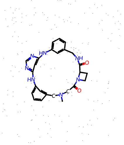 CN1CC(=O)N2CCC2C(=O)NCc2cccc(c2)Nc2cc(ncn2)Nc2cccc(c2)C1